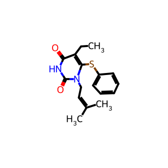 CCc1c(Sc2ccccc2)n(CC=C(C)C)c(=O)[nH]c1=O